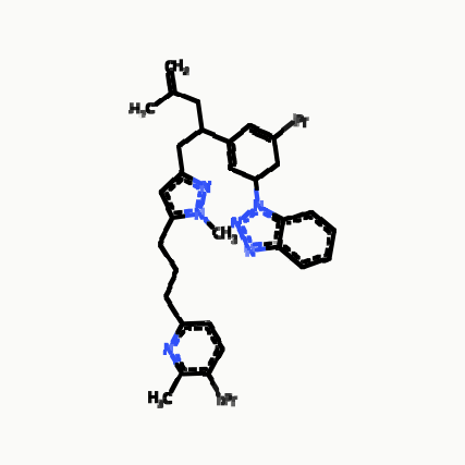 C=C(C)CC(Cc1cc(CCCc2ccc(CCC)c(C)n2)n(C)n1)C1=CC(n2nnc3ccccc32)CC(C(C)C)=C1